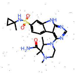 CC1N(c2ncnc3[nH]c4cc(S(=O)(=O)NC5(C)CC5)ccc4c23)CCN(C)C1(C)C(N)=O